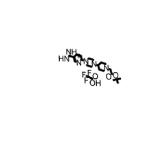 CC(C)(C)OC(=O)CN1CCC(N2CCN(c3ccc(C(=N)N)cn3)CC2)CC1.O=C(O)C(F)(F)F